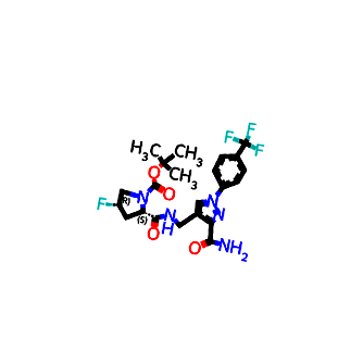 CC(C)(C)OC(=O)N1C[C@H](F)C[C@H]1C(=O)NCc1cn(-c2ccc(C(F)(F)F)cc2)nc1C(N)=O